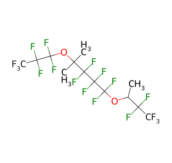 CC(OC(F)(F)C(F)(F)C(F)(F)C(C)(C)OC(F)(F)C(F)(F)C(F)(F)F)C(F)(F)C(F)(F)F